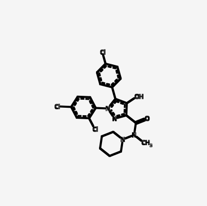 CN(C(=O)c1nn(-c2ccc(Cl)cc2Cl)c(-c2ccc(Cl)cc2)c1O)N1CCCCC1